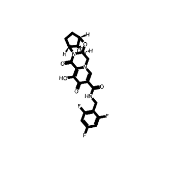 C[C@H]1[C@@H]2CC[C@H]1N1C(=O)c3c(O)c(=O)c(C(=O)NCc4c(F)cc(F)cc4F)cn3C[C@@H]1O2